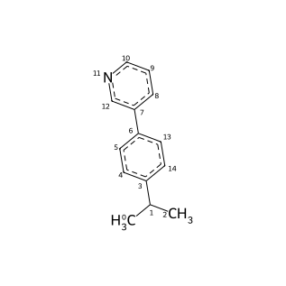 CC(C)c1ccc(-c2cccnc2)cc1